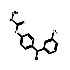 CCCCNC(=O)Oc1ccc([C](CC)c2cccc(C(F)(F)F)c2)cc1